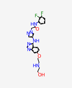 O=C(Cn1cc(Nc2ncnc3cc(OCCNCCO)ccc23)cn1)Nc1cccc(F)c1F